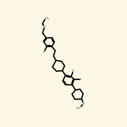 CCOCc1ccc(CCC2CCC(c3ccc(C4CCC(OC)CC4)c(F)c3F)CC2)c(F)c1